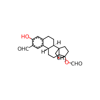 C[C@]12CC[C@@H]3c4cc(C=O)c(O)cc4CC[C@H]3C13CCC2(OC=O)CC3